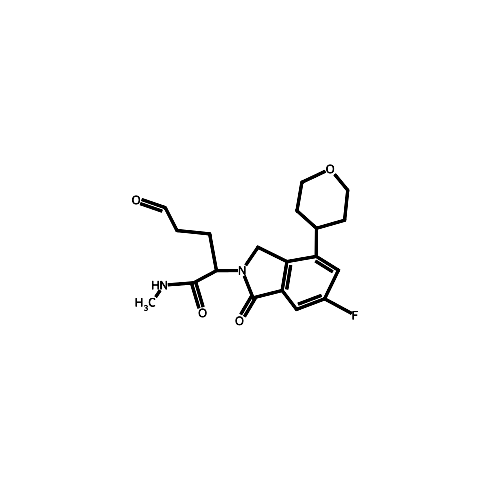 CNC(=O)C(CCC=O)N1Cc2c(cc(F)cc2C2CCOCC2)C1=O